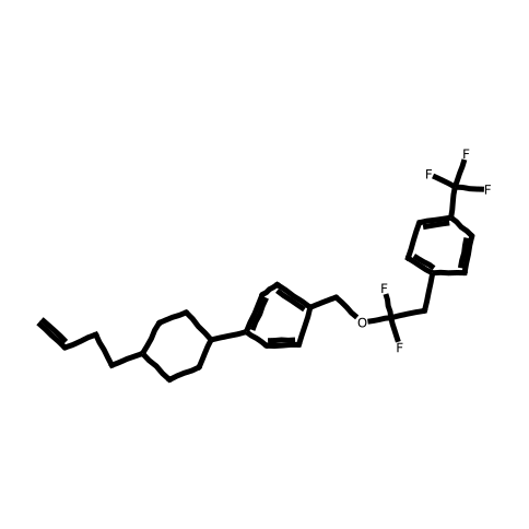 C=CCCC1CCC(c2ccc(COC(F)(F)Cc3ccc(C(F)(F)F)cc3)cc2)CC1